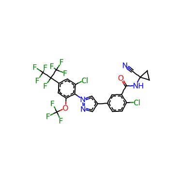 N#CC1(NC(=O)c2cc(-c3cnn(-c4c(Cl)cc(C(F)(C(F)(F)F)C(F)(F)F)cc4OC(F)(F)F)c3)ccc2Cl)CC1